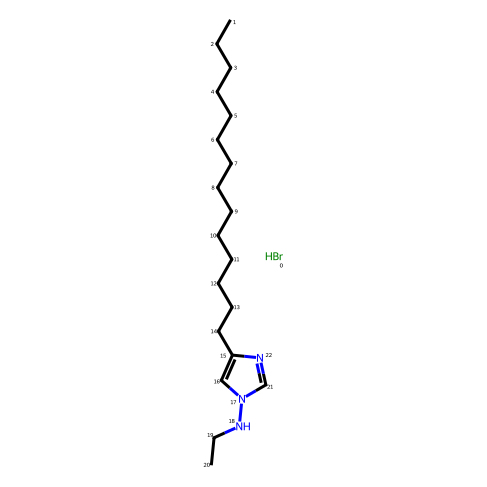 Br.CCCCCCCCCCCCCCc1cn(NCC)cn1